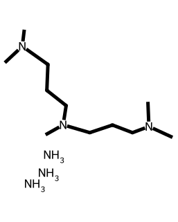 CN(C)CCCN(C)CCCN(C)C.N.N.N